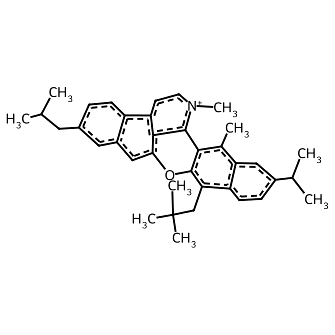 Cc1c2c(c(CC(C)(C)C)c3ccc(C(C)C)cc13)Oc1cc3cc(CC(C)C)ccc3c3cc[n+](C)c-2c13